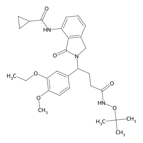 CCOc1cc(C(CCC(=O)NOC(C)(C)C)N2Cc3cccc(NC(=O)C4CC4)c3C2=O)ccc1OC